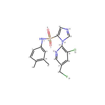 Cc1ccc(NS(=O)(=O)c2cncn2-c2ncc(CF)cc2Cl)cc1C